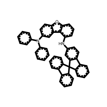 c1ccc(N(c2ccccc2)c2ccc3oc4cccc(Nc5ccc6c(c5)C5(c7ccccc7-c7ccccc75)c5ccccc5-6)c4c3c2)cc1